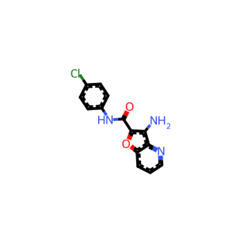 Nc1c(C(=O)Nc2ccc(Cl)cc2)oc2cccnc12